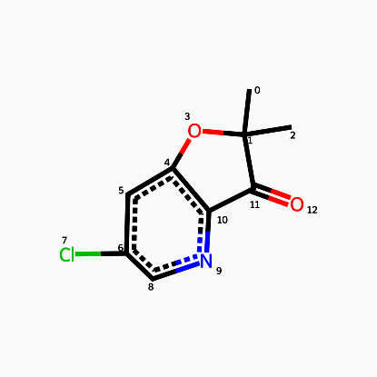 CC1(C)Oc2cc(Cl)cnc2C1=O